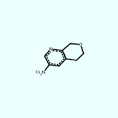 O=[N+]([O-])c1cnc2c(c1)CCOC2